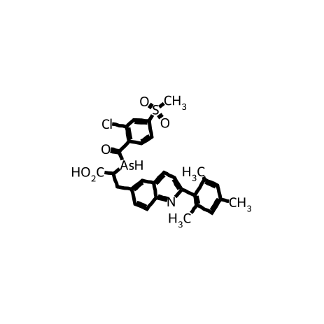 Cc1cc(C)c(-c2ccc3cc(CC([AsH]C(=O)c4ccc(S(C)(=O)=O)cc4Cl)C(=O)O)ccc3n2)c(C)c1